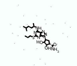 CCCSc1nc(NC(C)CCC(C)C)c2nnn(C3C[C@H](C(N)=O)C(O)C3O)c2n1